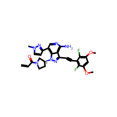 C=CC(=O)N1CC[C@H](n2nc(C#Cc3c(F)c(OC)cc(OC)c3F)c3c(N)ncc(-c4ccn(C)n4)c32)C1